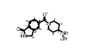 CC(C)NC1CCN(C(=O)c2ccc3c(c2)CNC3=O)CC1